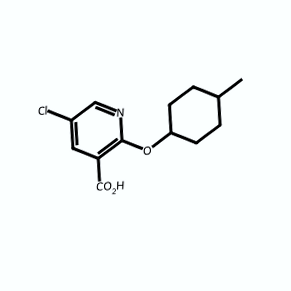 CC1CCC(Oc2ncc(Cl)cc2C(=O)O)CC1